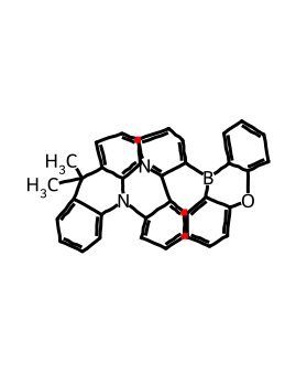 CC1(C)c2ccccc2N(c2ccccc2-c2ncccc2B2c3ccccc3Oc3ccccc32)c2ccccc21